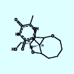 Cc1cn([C@@H]2C3CCCCOC2C(O)[C@@H](CO)O3)c(=O)[nH]c1=O